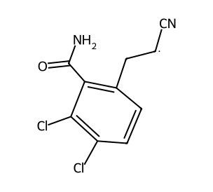 N#C[CH]Cc1ccc(Cl)c(Cl)c1C(N)=O